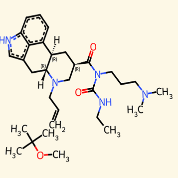 C=CCN1C[C@H](C(=O)N(CCCN(C)C)C(=O)NCC)C[C@@H]2c3cccc4[nH]cc(c34)C[C@H]21.COC(C)(C)C